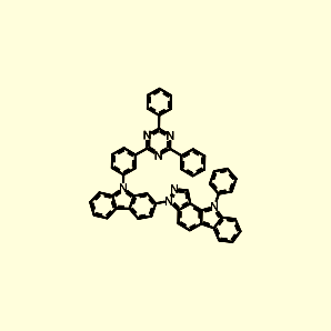 c1ccc(-c2nc(-c3ccccc3)nc(-c3cccc(-n4c5ccccc5c5ccc(-n6ncc7c6ccc6c8ccccc8n(-c8ccccc8)c67)cc54)c3)n2)cc1